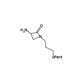 CCCCCCCCN1CC(N)C1=O